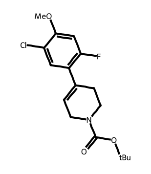 COc1cc(F)c(C2=CCN(C(=O)OC(C)(C)C)CC2)cc1Cl